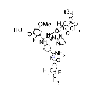 CCC(C)(C)COC(=O)/N=C(\N)c1ccc(N[C@@H](c2nc(OCOC(=O)C(C)(C)C(=O)OCC(C)(C)C)n(-c3ncccn3)n2)c2cc(OC)cc(OCCO)c2F)cc1